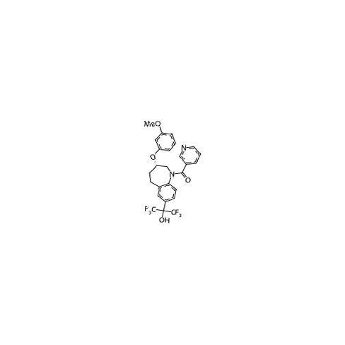 COc1cccc(O[C@H]2CCc3cc(C(O)(C(F)(F)F)C(F)(F)F)ccc3N(C(=O)c3cccnc3)C2)c1